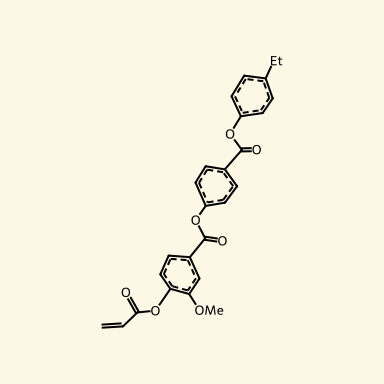 C=CC(=O)Oc1ccc(C(=O)Oc2ccc(C(=O)Oc3ccc(CC)cc3)cc2)cc1OC